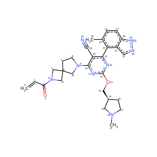 C=CC(=O)N1CC2(CCN(c3nc(OC[C@H]4CCN(C)C4)nc(-c4c(C)ccc5[nH]ncc45)c3C#N)C2)C1